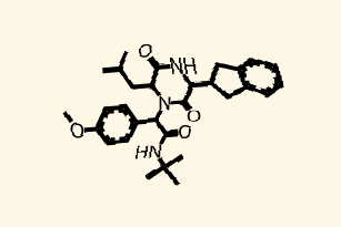 COc1ccc(C(C(=O)NC(C)(C)C)N2C(=O)C(C3Cc4ccccc4C3)NC(=O)C2CC(C)C)cc1